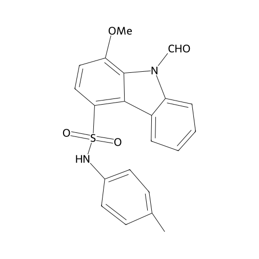 COc1ccc(S(=O)(=O)Nc2ccc(C)cc2)c2c3ccccc3n(C=O)c12